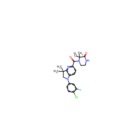 CC1(C)CN(c2ccc(Cl)c(F)c2)c2ccc(C(=O)N3CCNC(=O)C3(C)C)nc21